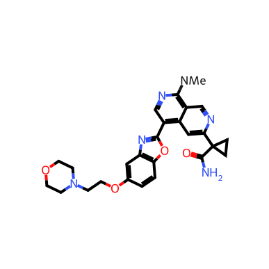 CNc1ncc(-c2nc3cc(OCCN4CCOCC4)ccc3o2)c2cc(C3(C(N)=O)CC3)ncc12